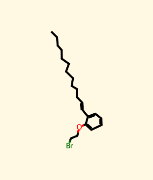 CCCCCCCCCCCC=Cc1ccccc1OCCBr